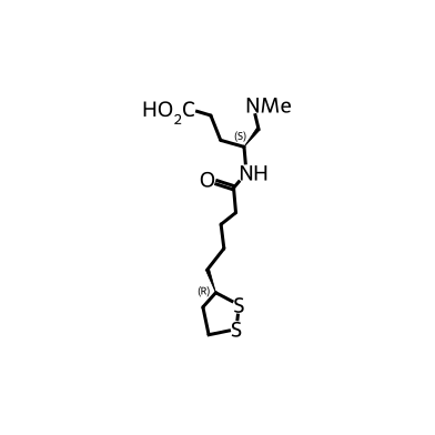 CNC[C@H](CCC(=O)O)NC(=O)CCCC[C@@H]1CCSS1